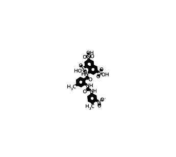 Cc1ccc(C(=O)Nc2cc(S(=O)(=O)O)cc3cc(S(=O)(=O)O)cc(S(=O)(=O)O)c23)c(NC(=O)Nc2ccc(C)c([N+](=O)[O-])c2)c1